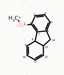 CBc1cccc2c1C1C=CC=CC1C2